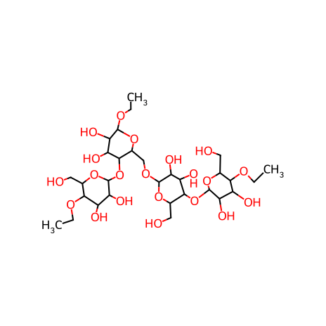 CCOC1OC(COC2OC(CO)C(OC3OC(CO)C(OCC)C(O)C3O)C(O)C2O)C(OC2OC(CO)C(OCC)C(O)C2O)C(O)C1O